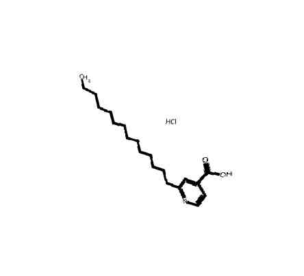 CCCCCCCCCCCCCCc1cc(C(=O)O)ccn1.Cl